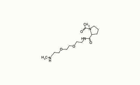 CNCCOCCOCCNC(=O)C1CCCN1C(C)=O